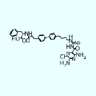 N=C(NCCCCc1ccc(-c2ccc(CCC(=O)NC(Cc3ccccc3)C(=O)O)cc2)cc1)NC(=O)c1nc(Cl)c(N)nc1N